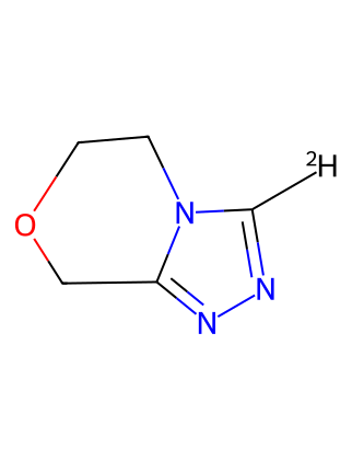 [2H]c1nnc2n1CCOC2